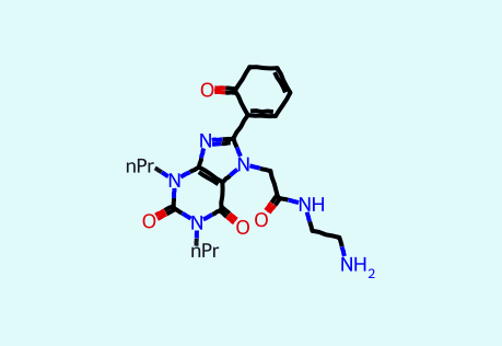 CCCn1c(=O)c2c(nc(C3=CC=CCC3=O)n2CC(=O)NCCN)n(CCC)c1=O